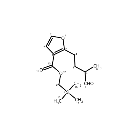 CC(C=O)CCc1occc1C(=O)OC[Si](C)(C)C